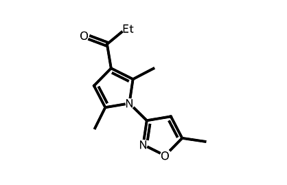 CCC(=O)c1cc(C)n(-c2cc(C)on2)c1C